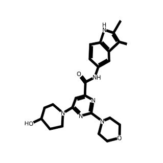 Cc1[nH]c2ccc(NC(=O)c3cc(N4CCC(O)CC4)nc(N4CCOCC4)n3)cc2c1C